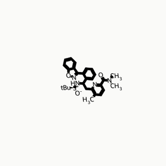 Cc1ccc(C(=O)N(C)C)nc1CC(N[S@@+]([O-])C(C)(C)C)c1ccccc1-c1noc2ccccc12